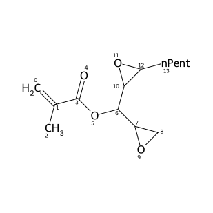 C=C(C)C(=O)OC(C1CO1)C1OC1CCCCC